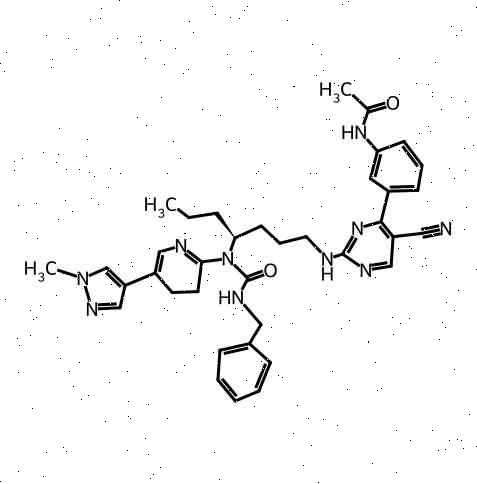 CCC[C@@H](CCCNc1ncc(C#N)c(-c2cccc(NC(C)=O)c2)n1)N(C(=O)NCc1ccccc1)C1=NC=C(c2cnn(C)c2)CC1